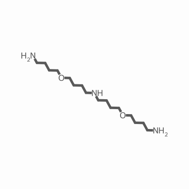 NCCCCOCCCCNCCCCOCCCCN